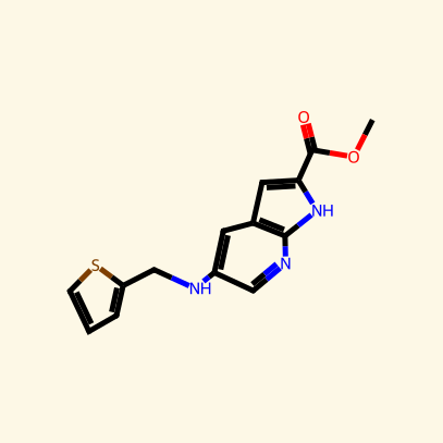 COC(=O)c1cc2cc(NCc3cccs3)cnc2[nH]1